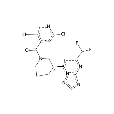 O=C(c1cc(Cl)ncc1Cl)N1CCC[C@H](c2cc(C(F)F)nc3ncnn23)C1